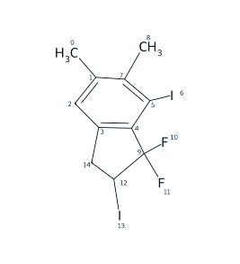 Cc1cc2c(c(I)c1C)C(F)(F)C(I)C2